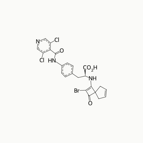 O=C(Nc1ccc(C[C@H](NC2=C(Br)C(=O)C23CC=CC3)C(=O)O)cc1)c1c(Cl)cncc1Cl